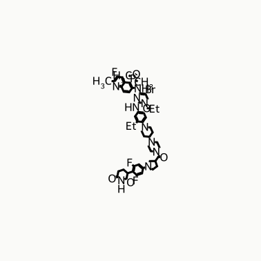 CCOc1cc(N2CCC(N3CCN(C(=O)C4CCN(c5cc(F)c(C6CCC(=O)NC6=O)c(F)c5)C4)CC3)CC2)c(CC)cc1Nc1ncc(Br)c(Nc2ccc3nc(C)c(F)cc3c2P(C)(C)=O)n1